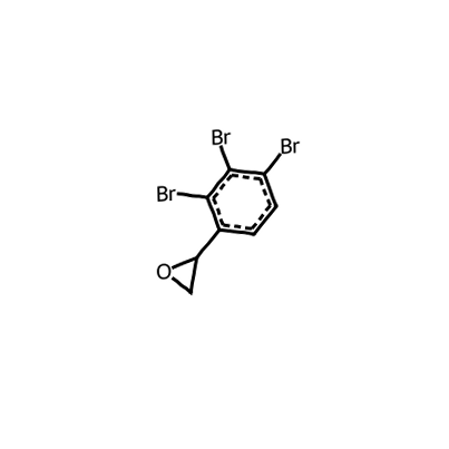 Brc1ccc(C2CO2)c(Br)c1Br